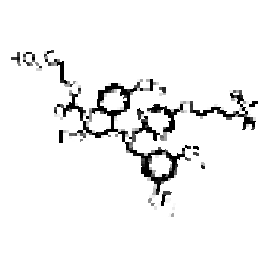 CC[C@@H]1C[C@H](N(Cc2cc(C(F)(F)F)cc(C(F)(F)F)c2)c2ncc(OCCCS(C)(=O)=O)cn2)c2cc(C(F)(F)F)ccc2N1C(=O)OCCC(=O)O